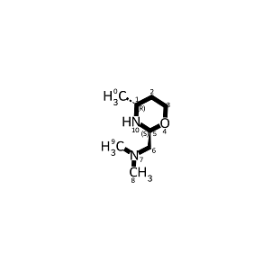 C[C@@H]1CCO[C@@H](CN(C)C)N1